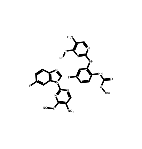 CC(C)(C)OC(=O)Nc1ccc(F)cc1Nc1ncc([N+](=O)[O-])c(SC#N)n1.N#CSc1nc(-n2cnc3ccc(F)cc32)ncc1[N+](=O)[O-]